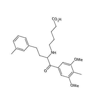 COc1cc(C(=O)C(CCc2cccc(C)c2)NCCCCC(=O)O)cc(OC)c1C